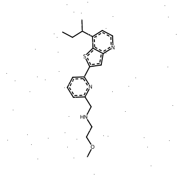 CCC(C)c1ccnc2cc(-c3cccc(CNCCOC)n3)sc12